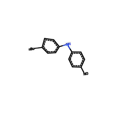 CCCCc1ccc(Nc2ccc(N=O)cc2)cc1